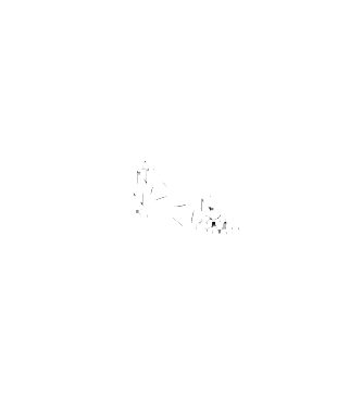 COc1ccc(-c2ccc3c(c2)N(C(=O)C2CCC2)C[C@H](C)N3C(C)=O)cc1N1CCCS1(=O)=O